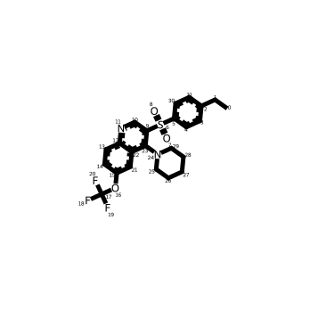 CCc1ccc(S(=O)(=O)c2cnc3ccc(OC(F)(F)F)cc3c2N2CCCCC2)cc1